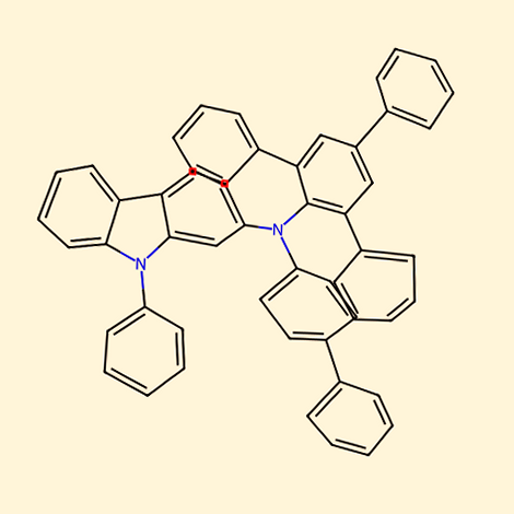 c1ccc(-c2ccc(N(c3ccc4c5ccccc5n(-c5ccccc5)c4c3)c3c(-c4ccccc4)cc(-c4ccccc4)cc3-c3ccccc3)cc2)cc1